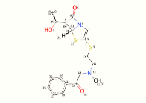 CC[C@H](O)[C@@H]1C(=O)N2C=C(SCCN(C)CC(=O)c3ccccc3)S[C@H]12